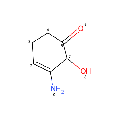 NC1=CCCC(=O)C1O